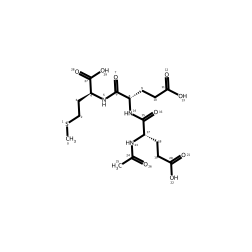 CSCC[C@H](NC(=O)[C@H](CCC(=O)O)NC(=O)[C@H](CCC(=O)O)NC(C)=O)C(=O)O